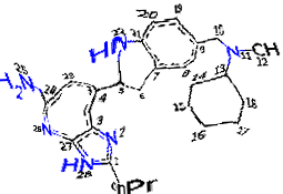 CCCc1nc2c(C3Cc4cc(CN(C)C5CCCCC5)ccc4N3)cc(N)nc2[nH]1